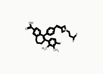 Cc1c(F)ccc(C2=C(c3ccc(C=C4CN(CCC(F)F)C4)cc3)c3ccc(C(=O)O)cc3CCC2)c1C